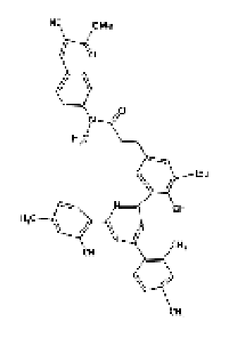 COC(=O)C(C#N)=Cc1ccc(N(C)C(=O)CCc2cc(-c3nc(-c4ccc(C)cc4C)nc(-c4ccc(C)cc4C)n3)c(O)c(C(C)(C)C)c2)cc1